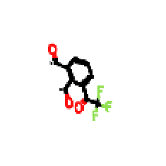 O=[C]c1cccc(C(=O)C(F)(F)F)c1[C]=O